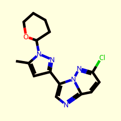 Cc1cc(-c2cnc3ccc(Cl)nn23)nn1C1CCCCO1